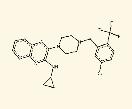 FC(F)(F)c1ccc(Cl)cc1CN1CCN(c2nc3ccccc3nc2NC2CC2)CC1